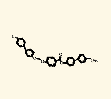 CC[C@@H](C)Cc1ccc(-c2ccc(OC(=O)c3ccc(OCOc4ccc(-c5ccc(C#N)cc5)cc4)cc3)cc2)cc1